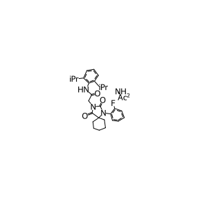 CC(C)c1cccc(C(C)C)c1NC(=O)CN1C(=O)N(c2ccccc2F)C2(CCCCC2)C1=O.CC(N)=O